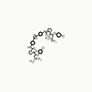 CN(C)CC(Oc1ccc(Cl)cc1)C(=O)N1CCC[C@H]1C(=O)Nc1ccc(-c2cnc(-c3ccc(NC(=O)[C@@H]4CCCN4C(=O)C(CN(C)C)Oc4ccc(Cl)cc4)cc3)o2)cc1